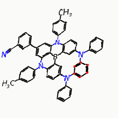 Cc1ccc(N2c3ccc(N(c4ccccc4)c4ccccc4)cc3B3c4cc(N(c5ccccc5)c5ccccc5)ccc4N(c4ccc(C)cc4)c4cc(-c5cccc(C#N)c5)cc2c43)cc1